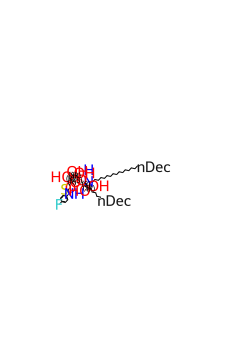 CCCCCCCCCCCCCCCCCCCCCCCCCCN[C@@H](CO[C@H]1O[C@H](COC(=S)Nc2ccc(F)cc2)[C@H](O)[C@H](O)[C@H]1O)[C@H](O)[C@H](O)CCCCCCCCCCCCCC